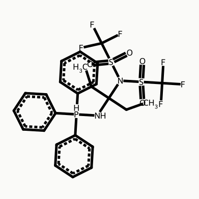 CCC(CC)(N[PH](c1ccccc1)(c1ccccc1)c1ccccc1)N(S(=O)(=O)C(F)(F)F)S(=O)(=O)C(F)(F)F